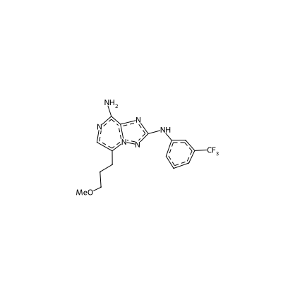 COCCCc1cnc(N)c2nc(Nc3cccc(C(F)(F)F)c3)nn12